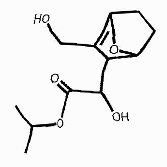 CC(C)OC(=O)C(O)C1C(CO)=C2CCC1O2